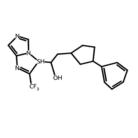 OC(CC1CCC(c2ccccc2)C1)[SH]1C(C(F)(F)F)=Nc2cncn21